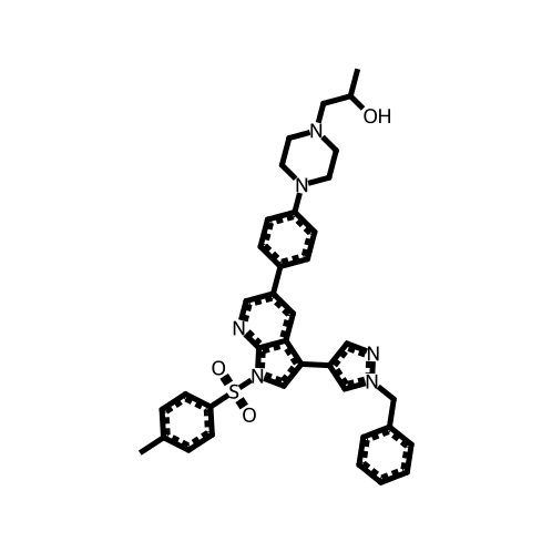 Cc1ccc(S(=O)(=O)n2cc(-c3cnn(Cc4ccccc4)c3)c3cc(-c4ccc(N5CCN(CC(C)O)CC5)cc4)cnc32)cc1